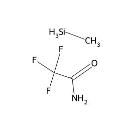 C[SiH3].NC(=O)C(F)(F)F